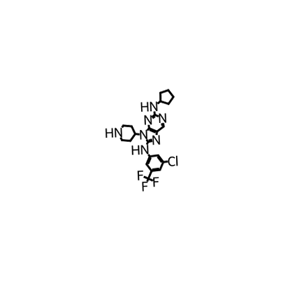 FC(F)(F)c1cc(Cl)cc(Nc2nc3cnc(NC4CCCC4)nc3n2C2CCNCC2)c1